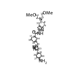 COCCN(CCOC)[C@H]1CCc2nc(NC(=O)c3cccc(Cn4cc(-c5ccc(N)cc5)nn4)c3)sc2C1